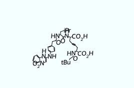 CC(C)CC(NC(=O)Cc1ccc(NC(=C[N+](=O)[O-])Nc2ccccc2)cc1)C(=O)NC(CC#CCC(NC(=O)CC(C)(C)C)C(=O)O)C(=O)O